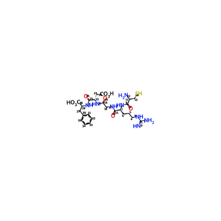 N=C(N)NCCC[C@H](NC(=O)[C@@H](N)CS)C(=O)NCC(=O)N[C@@H](CC(=O)O)C(=O)N[C@@H](Cc1ccccc1)C(=O)O